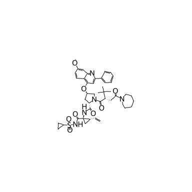 C=C[C@@H]1C[C@]1(NC(=O)[C@@H]1C[C@@H](Oc2cc(-c3ccccc3)nc3cc(OC)ccc23)CN1C(=O)[C@@H](CC(=O)N1CCCCCC1)C(C)(C)C)C(=O)NS(=O)(=O)C1CC1